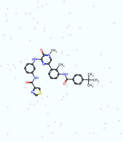 Cc1c(NC(=O)c2ccc(C(C)(C)C)cc2)cccc1-c1cn(C)c(=O)c(Nc2cccc(NC(=O)c3cscn3)c2)n1